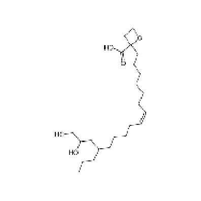 CCCC(CCCC/C=C\CCCCCCC1(C(=O)O)CCO1)CC(O)CO